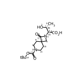 C[C@@H](O)[C@@H](C(=O)O)N1CC2(CCN(C(=O)OC(C)(C)C)CC2)C1=O